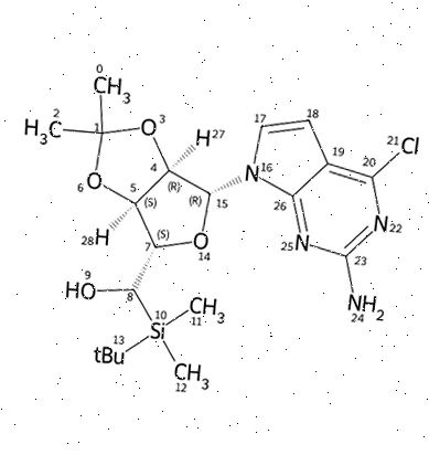 CC1(C)O[C@@H]2[C@H](O1)[C@@H](C(O)[Si](C)(C)C(C)(C)C)O[C@H]2n1ccc2c(Cl)nc(N)nc21